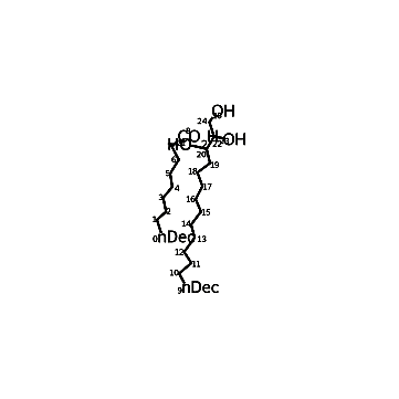 CCCCCCCCCCCCCCCCCC(=O)O.CCCCCCCCCCCCCCCCCCCCC(O)C(O)CO